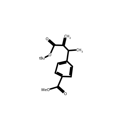 C=C(C(=O)OC(C)(C)C)C(C)c1ccc(C(=O)OC)cc1